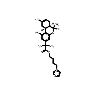 CC1=CC[C@@H]2[C@@H](C1)c1c(O)cc(C(C)(C)C(=O)OCCCCn3ccnc3)cc1OC2(C)C